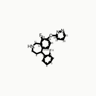 Fc1ccccc1C1CCNCc2c1ccc(Oc1cccnn1)c2F